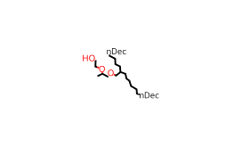 CCCCCCCCCCCCCCCCC(CCCCCCCCCCCCCC)COCC(C)OCCO